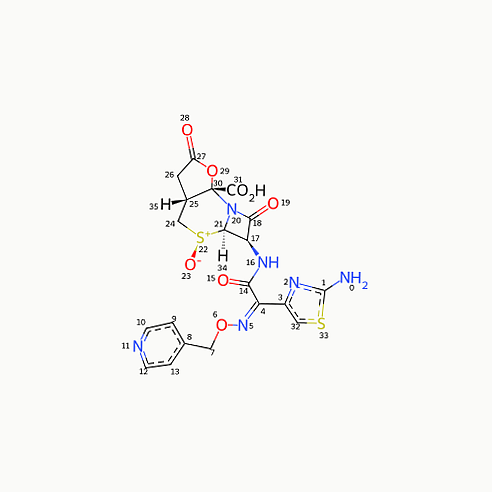 Nc1nc(/C(=N/OCc2ccncc2)C(=O)N[C@@H]2C(=O)N3[C@@H]2[S@@+]([O-])C[C@@H]2CC(=O)O[C@@]23C(=O)O)cs1